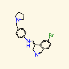 Brc1ccc2c(c1)C(=CNc1ccc(CN3CCCC3)cc1)CN=C2